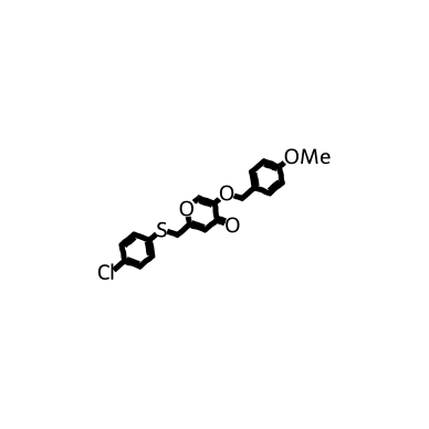 COc1ccc(COc2coc(CSc3ccc(Cl)cc3)cc2=O)cc1